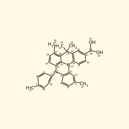 Cc1ccc(N2c3ccc(C)cc3B3c4ccc(B(O)O)cc4C(C)(C)c4c(C)ccc2c43)cc1